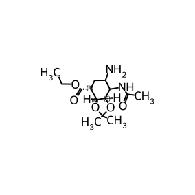 CCOC(=O)[C@@H]1CC(N)C(NC(C)=O)[C@@H]2OC(C)(C)O[C@H]12